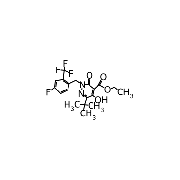 CCOC(=O)c1c(O)c(C(C)(C)C)nn(Cc2ccc(F)cc2C(F)(F)F)c1=O